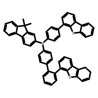 CC1(C)c2ccccc2-c2ccc(N(c3ccc(-c4ccccc4-c4cccc5c6c(oc45)C=CCC6)cc3)c3ccc(-c4cccc5c4sc4ccccc45)cc3)cc21